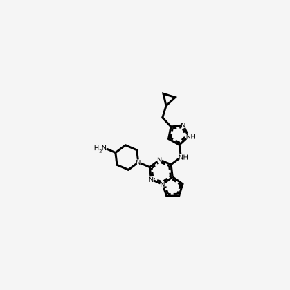 NC1CCN(c2nc(Nc3cc(CC4CC4)n[nH]3)c3cccn3n2)CC1